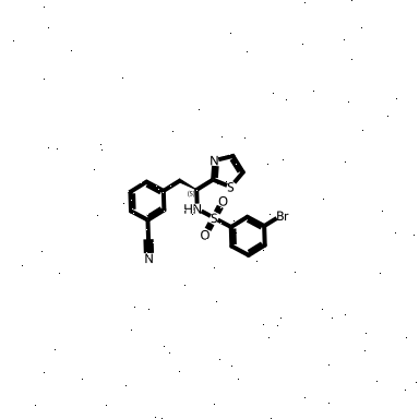 N#Cc1cccc(C[C@H](NS(=O)(=O)c2cccc(Br)c2)c2nccs2)c1